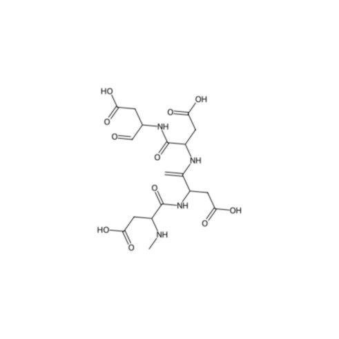 C=C(NC(CC(=O)O)C(=O)NC(C=O)CC(=O)O)C(CC(=O)O)NC(=O)C(CC(=O)O)NC